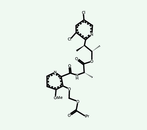 COc1ccnc(C(=O)N[C@@H](C)C(=O)O[C@@H](C)[C@@H](C)c2ncc(Cl)cc2Cl)c1OCOC(=O)C(C)C